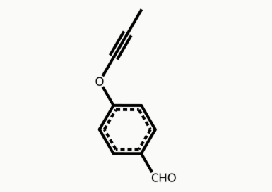 CC#COc1ccc(C=O)cc1